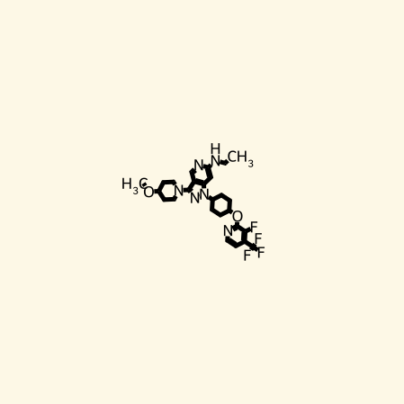 CCNc1cc2c(cn1)c(N1CCC(OC)CC1)nn2C1CCC(Oc2nccc(C(F)(F)F)c2F)CC1